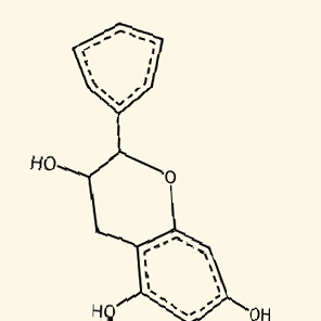 Oc1cc(O)c2c(c1)OC(c1ccccc1)C(O)C2